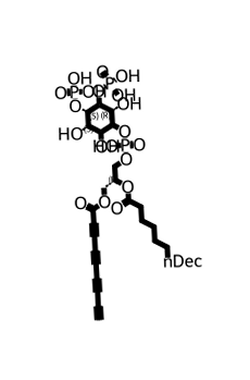 C#CC#CC#CC#CC(=O)OC[C@H](COP(=O)(O)OC1C(O)[C@H](O)[C@H](OP(=O)(O)O)C(OP(=O)(O)O)[C@@H]1O)OC(=O)CCCCCCCCCCCCCCC